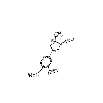 COc1ccc([C@@H]2C[C@@H](C)N(C(C)(C)C)C2)cc1OCC(C)C